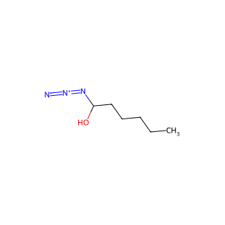 CCCCCC(O)N=[N+]=[N-]